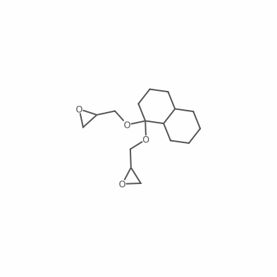 C1CCC2C(C1)CCCC2(OCC1CO1)OCC1CO1